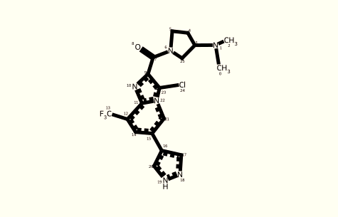 CN(C)C1CCN(C(=O)c2nc3c(C(F)(F)F)cc(-c4cn[nH]c4)cn3c2Cl)C1